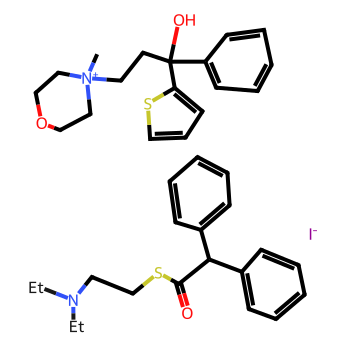 CCN(CC)CCSC(=O)C(c1ccccc1)c1ccccc1.C[N+]1(CCC(O)(c2ccccc2)c2cccs2)CCOCC1.[I-]